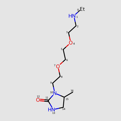 CCNCCOCCOCCN1C(=O)NCC1C